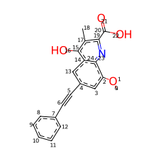 COc1cc(C#Cc2ccccc2)cc2c(O)c(C)c(C(=O)O)nc12